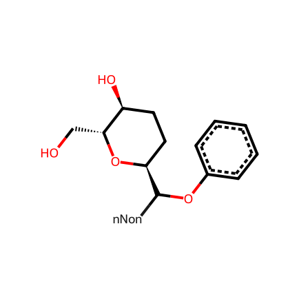 CCCCCCCCCC(Oc1ccccc1)[C@@H]1CC[C@H](O)[C@@H](CO)O1